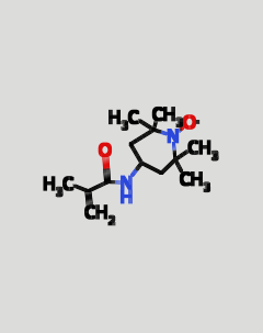 C=C(C)C(=O)NC1CC(C)(C)N([O])C(C)(C)C1